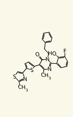 Cc1nc(-c2ccc(-c3c(C)nc(-c4cccc(F)c4O)n(CCc4ccccc4)c3=O)s2)cs1